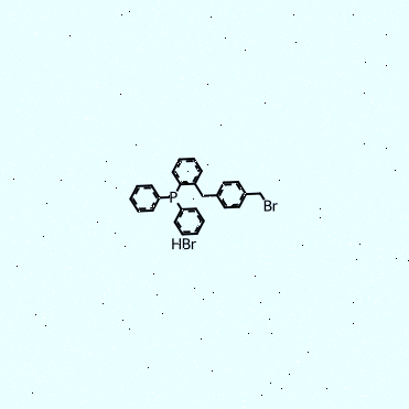 Br.BrCc1ccc(Cc2ccccc2P(c2ccccc2)c2ccccc2)cc1